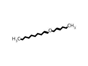 CCCC=CCO/C=C/CCCCCCCC